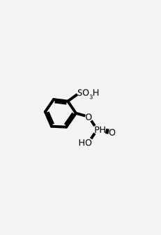 O=[PH](O)Oc1ccccc1S(=O)(=O)O